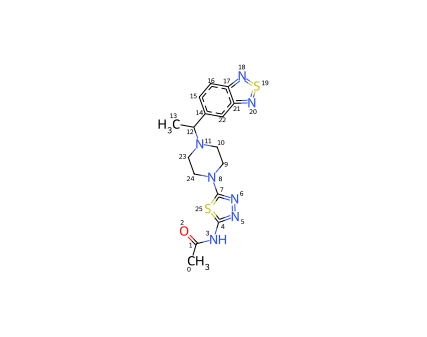 CC(=O)Nc1nnc(N2CCN(C(C)c3ccc4nsnc4c3)CC2)s1